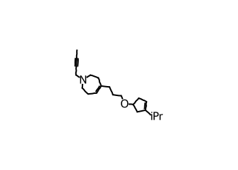 CC#CCN1CCC=C(CCCOC2CC=C(C(C)C)C2)CC1